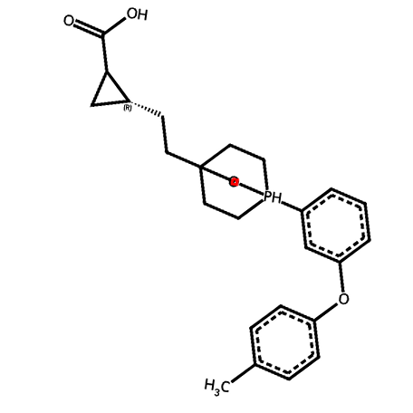 Cc1ccc(Oc2cccc([PH]34CCC(CC[C@@H]5CC5C(=O)O)(CC3)CO4)c2)cc1